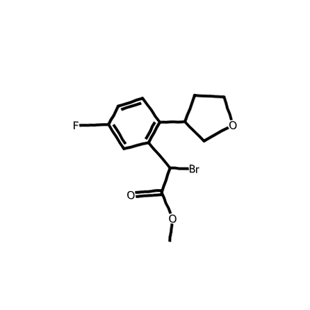 COC(=O)C(Br)c1cc(F)ccc1C1CCOC1